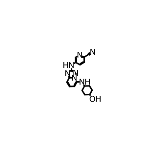 N#Cc1ccc(Nc2nc3cccc(NC4CCC(O)CC4)n3n2)cn1